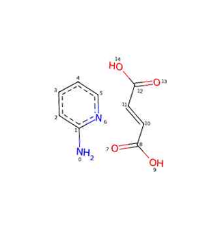 Nc1ccccn1.O=C(O)C=CC(=O)O